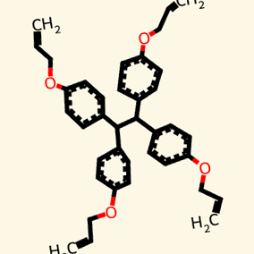 C=CCOc1ccc(C(c2ccc(OCC=C)cc2)C(c2ccc(OCC=C)cc2)c2ccc(OCC=C)cc2)cc1